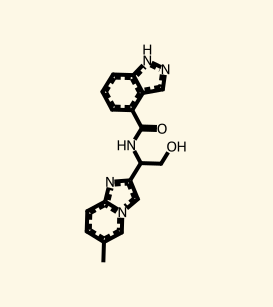 Cc1ccc2nc(C(CO)NC(=O)c3cccc4[nH]ncc34)cn2c1